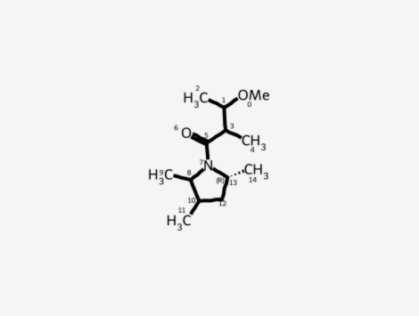 COC(C)C(C)C(=O)N1C(C)C(C)C[C@H]1C